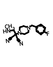 CNCC(C#N)(C#N)N1CCN(Cc2ccc(F)cc2)CC1